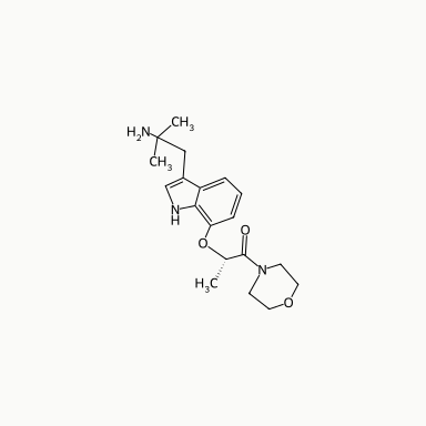 C[C@H](Oc1cccc2c(CC(C)(C)N)c[nH]c12)C(=O)N1CCOCC1